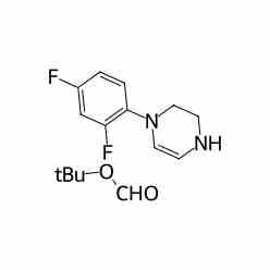 CC(C)(C)OC=O.Fc1ccc(N2C=CNCC2)c(F)c1